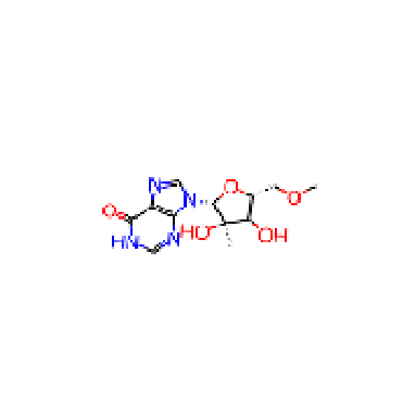 COC[C@H]1O[C@@H](n2cnc3c(=O)[nH]cnc32)[C@](C)(O)[C@@H]1O